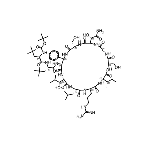 CC[C@H](C)[C@@H]1NC(=O)[C@@H](CCCNC(=N)N)NC(=O)[C@H](CC(C)C)NC(=O)[C@H]([C@H](O)C(C)C)NC(=O)[C@@H](NC(=O)[C@H](CC(C)(C)C)NC(=O)[C@@H](CC(C)(C)C)NC(=O)OC(C)(C)C)[C@@H](c2ccccc2)NC(=O)[C@H](CO)NC(=O)C([C@H](O)C(N)=O)NC(=O)CNC(=O)[C@H](CO)NC1=O